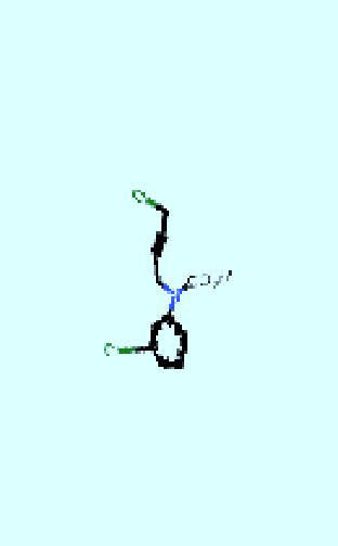 O=C(O)N(CC#CCCl)c1cccc(Cl)c1